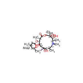 CC[C@H]1OC(=O)[C@H](C)[C@@H](O[C@H]2C[C@@](C)(OC)C[C@H](C)O2)[C@H](O)C[C@@](O)(I)C[C@@H](C)CN(C)[C@H](C)[C@@H](O)[C@]1(C)O